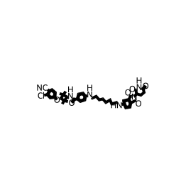 CC1(C)C(NC(=O)c2ccc(NCCCCCCCCNc3ccc4c(c3)C(=O)N(C3CCC(=O)NC3=O)C4=O)cc2)C(C)(C)C1Oc1ccc(C#N)c(Cl)c1